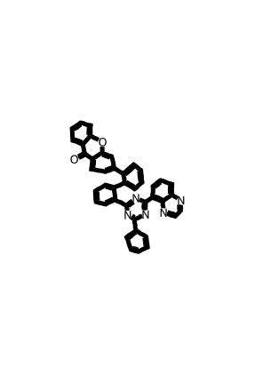 O=c1c2ccccc2oc2cc(-c3ccccc3-c3ccccc3-c3nc(-c4ccccc4)nc(-c4cccc5nccnc45)n3)ccc12